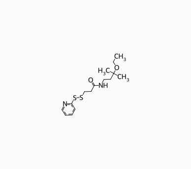 CCOC(C)(C)CCNC(=O)CCSSc1ccccn1